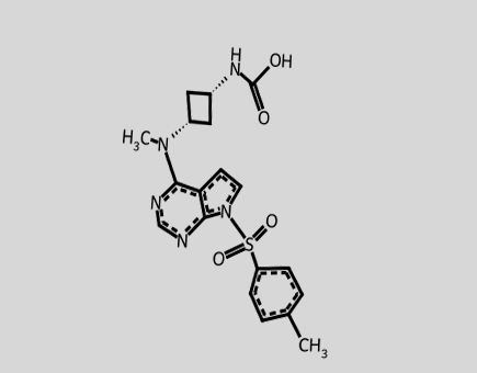 Cc1ccc(S(=O)(=O)n2ccc3c(N(C)[C@H]4C[C@@H](NC(=O)O)C4)ncnc32)cc1